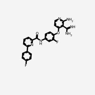 N=C(N)c1c(Oc2ccc(NC(=O)c3cccc(-c4ccc(F)cc4)n3)cc2F)ccnc1N